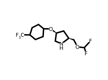 FC(F)OC[C@@H]1C[C@H](OC2CCC(C(F)(F)F)CC2)CN1